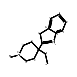 CCC1(C2=Nc3ccccc3C2)CCN(C)CC1